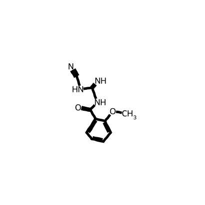 COc1ccccc1C(=O)NC(=N)NC#N